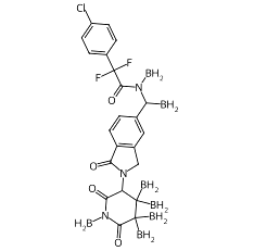 BC(c1ccc2c(c1)CN(C1C(=O)N(B)C(=O)C(B)(B)C1(B)B)C2=O)N(B)C(=O)C(F)(F)c1ccc(Cl)cc1